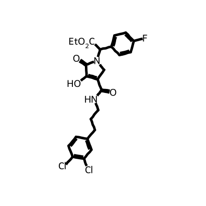 CCOC(=O)C(c1ccc(F)cc1)N1CC(C(=O)NCCCc2ccc(Cl)c(Cl)c2)=C(O)C1=O